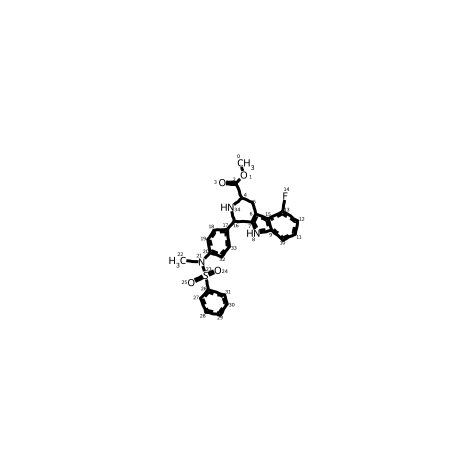 COC(=O)C1Cc2c([nH]c3cccc(F)c23)C(c2ccc(N(C)S(=O)(=O)c3ccccc3)cc2)N1